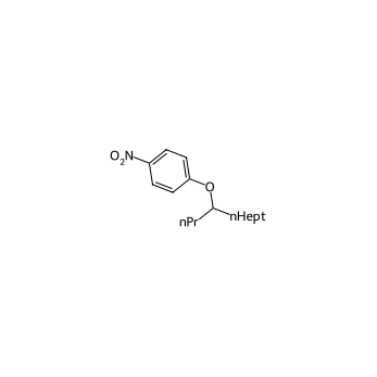 CCCCCCCC(CCC)Oc1ccc([N+](=O)[O-])cc1